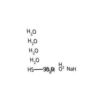 O.O.O.O.O.O.O=S(=O)(O)S.[NaH]